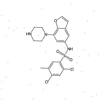 Cc1cc(S(=O)(=O)Nc2cc(N3CCNCC3)c3occc3c2)c(Cl)cc1Cl